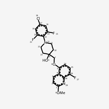 COc1ccc2c(OCC3(O)CCN(c4c(F)cc(Cl)cc4F)CC3)ccc(F)c2n1